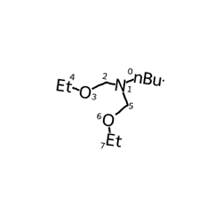 CCC[CH]N(COCC)COCC